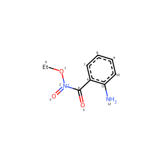 CCO[N+](=O)C(=O)c1ccccc1N